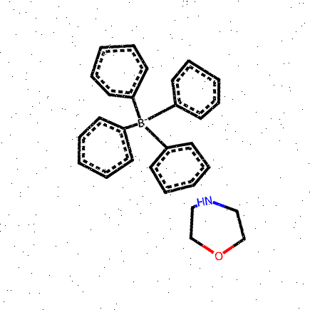 C1COCCN1.c1ccc([B-](c2ccccc2)(c2ccccc2)c2ccccc2)cc1